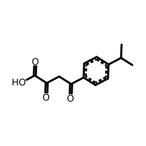 CC(C)c1ccc(C(=O)CC(=O)C(=O)O)cc1